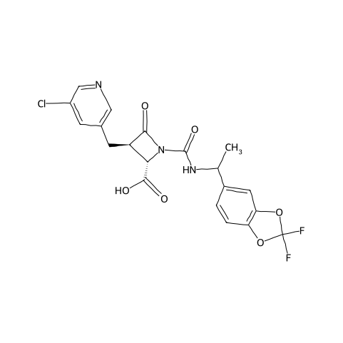 CC(NC(=O)N1C(=O)[C@H](Cc2cncc(Cl)c2)[C@H]1C(=O)O)c1ccc2c(c1)OC(F)(F)O2